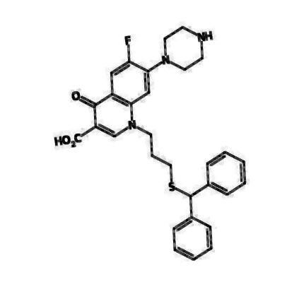 O=C(O)c1cn(CCCSC(c2ccccc2)c2ccccc2)c2cc(N3CCNCC3)c(F)cc2c1=O